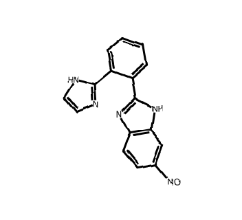 O=Nc1ccc2nc(-c3ccccc3-c3ncc[nH]3)[nH]c2c1